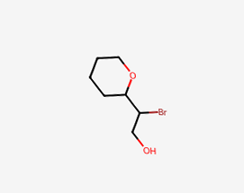 OCC(Br)C1CCCCO1